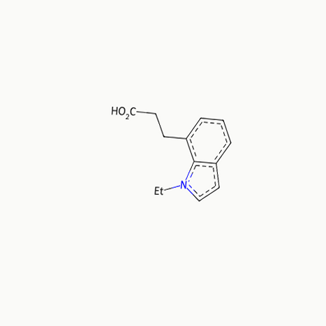 CCn1ccc2cccc(CCC(=O)O)c21